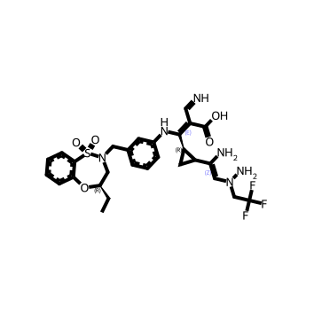 CC[C@@H]1CN(Cc2cccc(N/C(=C(\C=N)C(=O)O)[C@@H]3CC3/C(N)=C/N(N)CC(F)(F)F)c2)S(=O)(=O)c2ccccc2O1